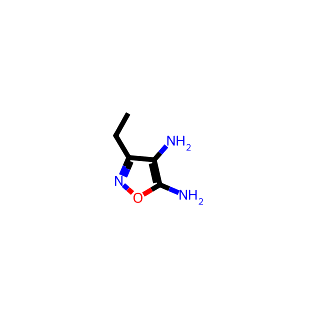 CCc1noc(N)c1N